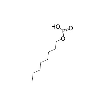 CCCCCCCCO[P](=O)O